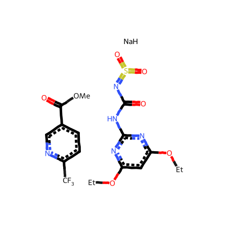 CCOc1cc(OCC)nc(NC(=O)N=S(=O)=O)n1.COC(=O)c1ccc(C(F)(F)F)nc1.[NaH]